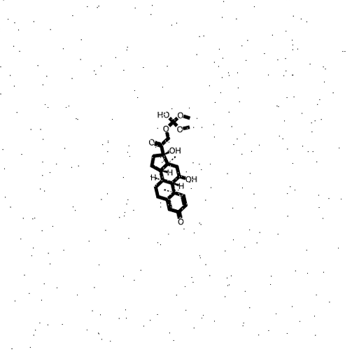 COC(O)(OC)OCC(=O)[C@@]1(O)CC[C@H]2[C@@H]3CCC4=CC(=O)C=C[C@]4(C)[C@H]3C(O)C[C@@]21C